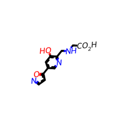 O=C(O)CNCc1ncc(-c2ccno2)cc1O